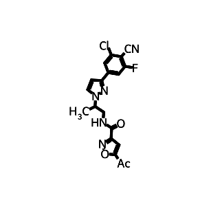 CC(=O)c1cc(C(=O)NCC(C)n2ccc(-c3cc(F)c(C#N)c(Cl)c3)n2)no1